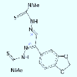 CNC(=S)N/N=C/C(=N/NC(=S)NC)c1ccc2c(c1)OCO2